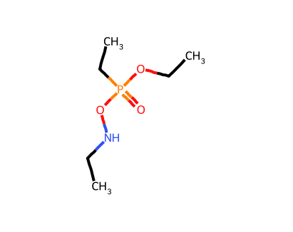 CCNOP(=O)(CC)OCC